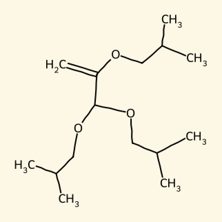 C=C(OCC(C)C)C(OCC(C)C)OCC(C)C